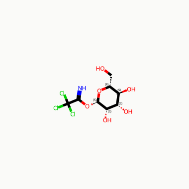 N=C(O[C@@H]1O[C@H](CO)[C@@H](O)[C@H](O)[C@@H]1O)C(Cl)(Cl)Cl